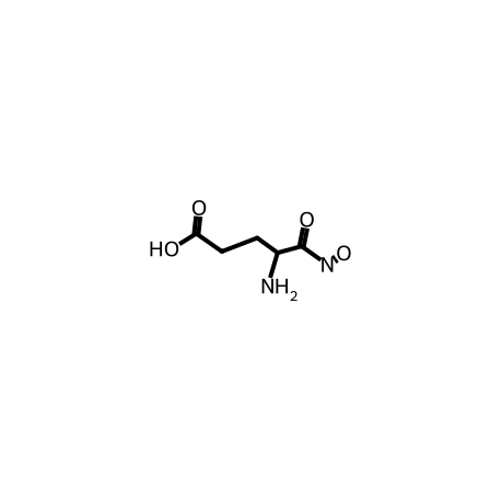 NC(CCC(=O)O)C(=O)N=O